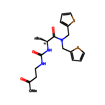 CCCC[C@H](NC(=O)NCCC(=O)OC)C(=O)N(Cc1cccs1)Cc1cccs1